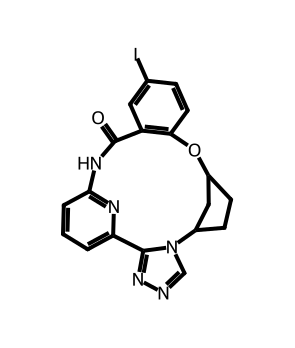 O=C1Nc2cccc(n2)-c2nncn2C2CCC(C2)Oc2ccc(I)cc21